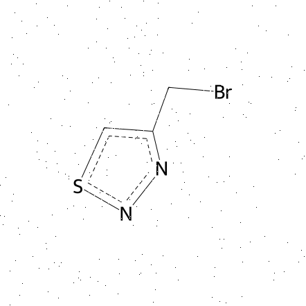 BrCc1csnn1